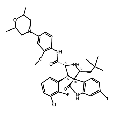 COc1cc(N2CC(C)OC(C)C2)ccc1NC(=O)[C@@H]1N[C@@H](CC(C)(C)C)[C@@]2(C(=O)Nc3cc(I)ccc32)[C@H]1c1cccc(Cl)c1F